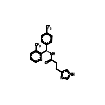 O=C(CCc1c[nH]cn1)N[C@@H](c1ccc(C(F)(F)F)cc1)c1ncccc1C(F)(F)F